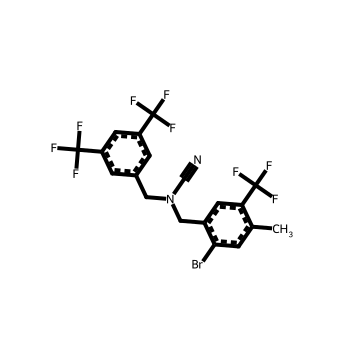 Cc1cc(Br)c(CN(C#N)Cc2cc(C(F)(F)F)cc(C(F)(F)F)c2)cc1C(F)(F)F